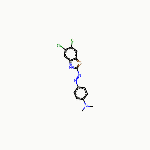 CN(C)c1ccc(N=Nc2nc3cc(Cl)c(Cl)cc3s2)cc1